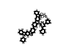 CC1(C)c2ccccc2-c2cc3c4ccc(-c5ccc6oc7cc8c(cc7c6c5)c5ccccc5n8-c5ccccc5)cc4n(-c4nc(-c5ccccc5)cc(-c5ccccc5)n4)c3cc21